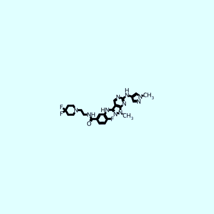 Cn1cc(Nc2ncc3c(Nc4cc(C(=O)NCCN5CCC(F)(F)CC5)ccc4F)nn(C)c3n2)cn1